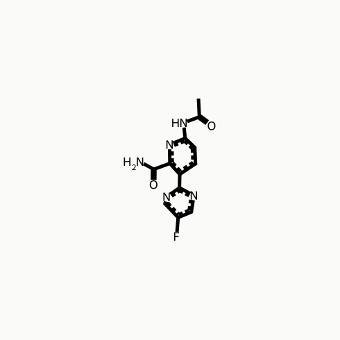 CC(=O)Nc1ccc(-c2ncc(F)cn2)c(C(N)=O)n1